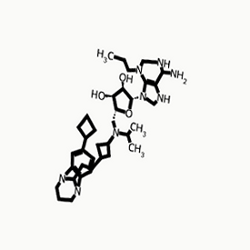 CCCN1CNC(N)C2=C1N([C@@H]1O[C@H](CN(C(C)C)C3CC(CCC4N5CCCN4c4cc(C6CCC6)ccc45)C3)[C@@H](O)[C@H]1O)CN2